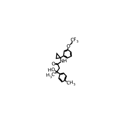 Cc1ccc([C@](C)(O)CC(=O)NC2(c3cccc(OCC(F)(F)F)c3)CC2)cc1